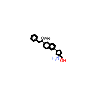 COC(Cc1ccccc1)[C@@H]1CCc2cc([C@H]3CC[C@@](N)(CO)C3)ccc2C1